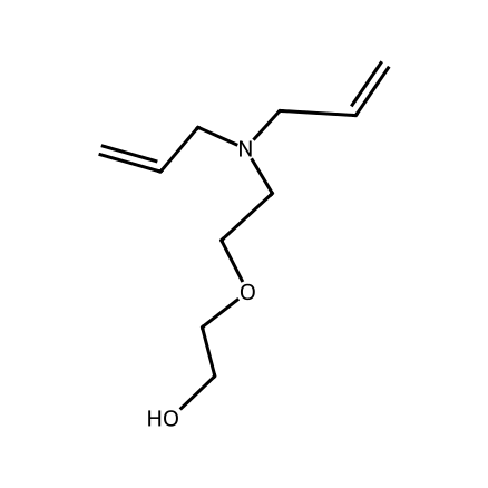 C=CCN(CC=C)CCOCCO